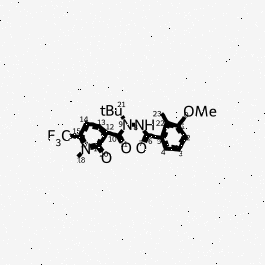 COc1cccc(C(=O)NN(C(=O)c2ccc(C(F)(F)F)n(C)c2=O)C(C)(C)C)c1C